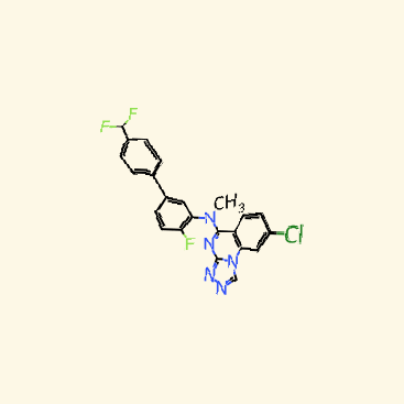 CN(c1cc(-c2ccc(C(F)F)cc2)ccc1F)c1nc2nncn2c2cc(Cl)ccc12